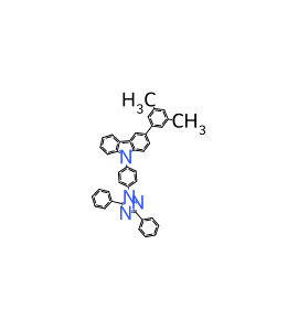 Cc1cc(C)cc(-c2ccc3c(c2)c2ccccc2n3-c2ccc(-n3nc(-c4ccccc4)nc3-c3ccccc3)cc2)c1